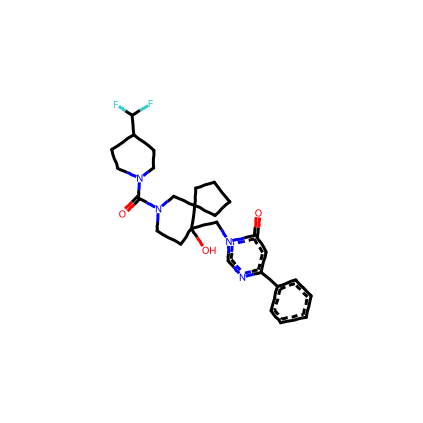 O=C(N1CCC(C(F)F)CC1)N1CCC(O)(Cn2cnc(-c3ccccc3)cc2=O)C2(CCCC2)C1